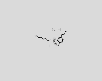 CCCCCCCCOS(=O)(=O)c1cc(CCCC)ccc1CC.[NaH]